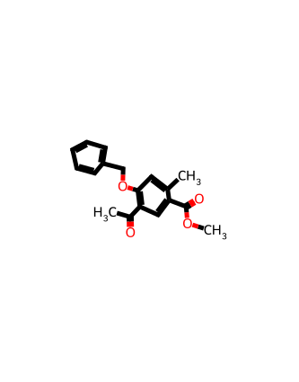 COC(=O)c1cc(C(C)=O)c(OCc2ccccc2)cc1C